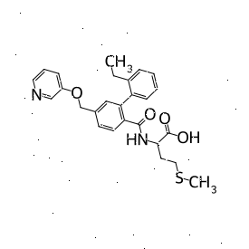 CCc1ccccc1-c1cc(COc2cccnc2)ccc1C(=O)NC(CCSC)C(=O)O